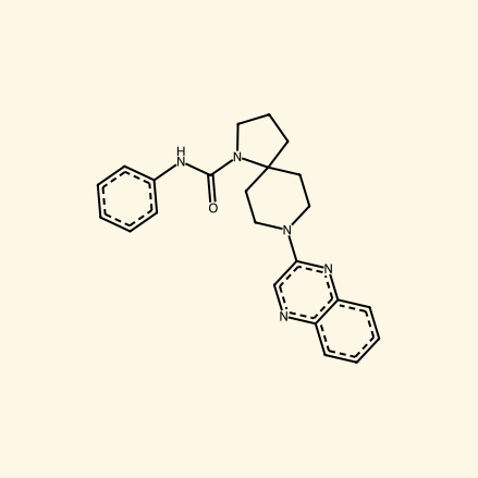 O=C(Nc1ccccc1)N1CCCC12CCN(c1cnc3ccccc3n1)CC2